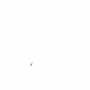 CSC(=S)N1[C@@H](C(=O)O)Cc2c([nH]c3ccccc23)[C@@H]1CO